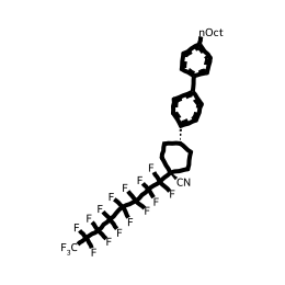 CCCCCCCCc1ccc(-c2ccc([C@H]3CC[C@@](C#N)(C(F)(F)C(F)(F)C(F)(F)C(F)(F)C(F)(F)C(F)(F)C(F)(F)C(F)(F)F)CC3)cc2)cc1